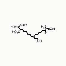 CCCCCCCCC(CCCCCCCC)C(CCCCCCN(CCO)CCCCCC(=O)N(C)CCCCCCCC)C(=O)O